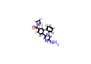 NC1=NC=C(c2ccc(C(=O)N3CCC3)cc2)N(c2ccccc2)C1